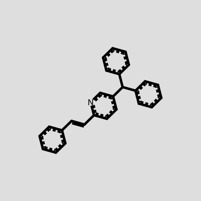 C(=Cc1ccc(C(c2ccccc2)c2ccccc2)cn1)c1ccccc1